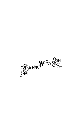 Cn1c(=O)n(C2CCC(=O)NC2=O)c2ccc(C3CCN(C(=O)Nc4cccc(CS(=O)(=O)N5CCC(Oc6cccc(-c7sc(C(=O)O)c(OCC(=O)O)c7Cl)c6)CC5)c4)CC3)cc21